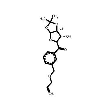 C=CCOCc1cccc(C(=O)C2OC3OC(C)(C)O[C@H]3[C@@H]2O)c1